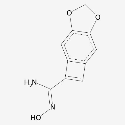 NC(=NO)C1=Cc2cc3c(cc21)OCO3